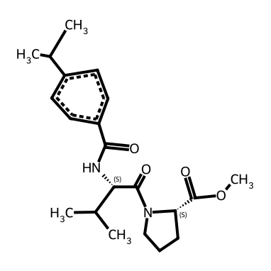 COC(=O)[C@@H]1CCCN1C(=O)[C@@H](NC(=O)c1ccc(C(C)C)cc1)C(C)C